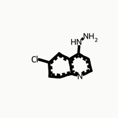 NNc1ccnc2ccc(Cl)cc12